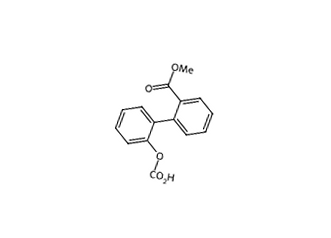 COC(=O)c1ccccc1-c1ccccc1OC(=O)O